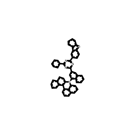 c1ccc(-c2nc(-c3cc(N4c5ccc6ccccc6c5-c5cccc6cccc4c56)c4ccccc4c3)nc(-c3ccc4sc5ccccc5c4c3)n2)cc1